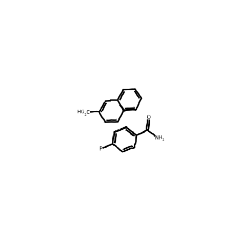 NC(=O)c1ccc(F)cc1.O=C(O)c1ccc2ccccc2c1